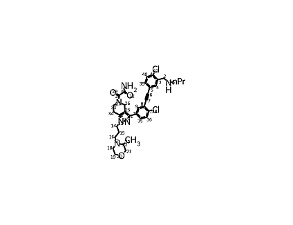 CCCNCc1cc(C#Cc2cc(-c3nn(CCCN4CCOCC4C)c4c3CN(C(=O)C(N)=O)CC4)ccc2Cl)ccc1Cl